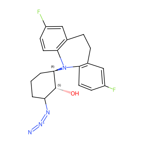 [N-]=[N+]=NC1CCC[C@@H](N2c3ccc(F)cc3CCc3cc(F)ccc32)[C@@H]1O